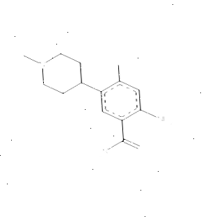 CN1CCC(c2cc(C(N)=O)c(N)cc2F)CC1